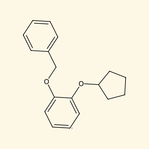 [c]1ccc(OCc2ccccc2)c(OC2CCCC2)c1